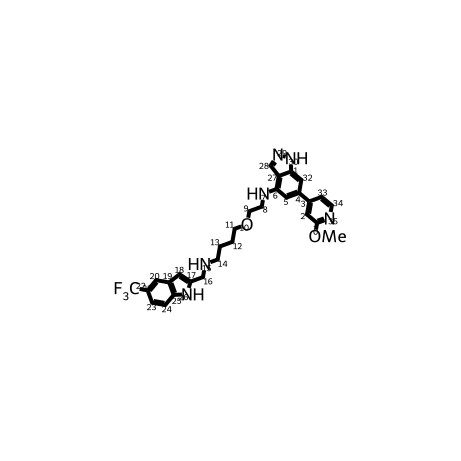 COc1cc(-c2cc(NCCOCCCCNCc3cc4cc(C(F)(F)F)ccc4[nH]3)c3cn[nH]c3c2)ccn1